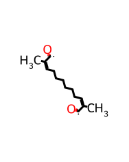 CC([C]=O)=CCCCCCCC=C(C)[C]=O